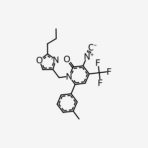 [C-]#[N+]c1c(C(F)(F)F)cc(-c2cccc(C)c2)n(Cc2coc(CCC)n2)c1=O